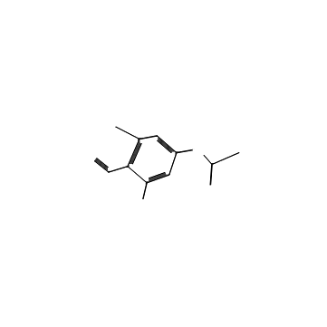 Cc1cc(OC(C)C)cc(C)c1C=O